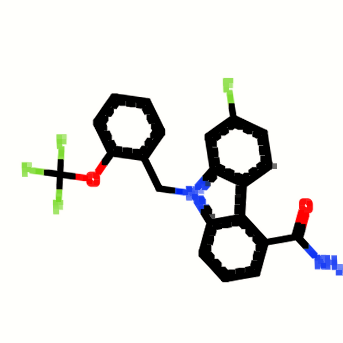 NC(=O)c1cccc2c1c1[c]cc(F)cc1n2Cc1ccccc1OC(F)(F)F